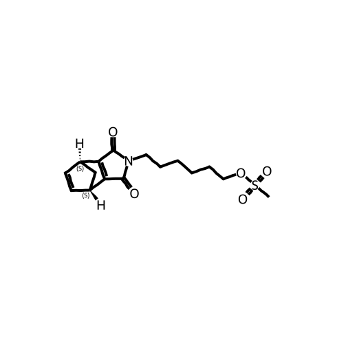 CS(=O)(=O)OCCCCCCN1C(=O)C2=C(C1=O)[C@@H]1C=C[C@@H]2C1